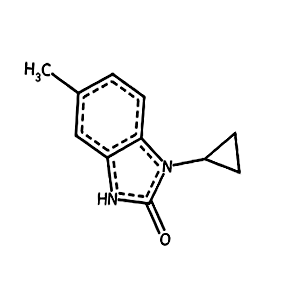 Cc1ccc2c(c1)[nH]c(=O)n2C1CC1